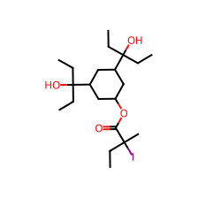 CCC(C)(I)C(=O)OC1CC(C(O)(CC)CC)CC(C(O)(CC)CC)C1